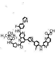 COC(=O)c1ccc2cnc(Nc3ccc(-n4cc(-c5cc(C(=O)N6CCC(NC(=O)OC(C)(C)C)C6)nc6cc(Nc7ccc(-n8cccn8)cc7F)ncc56)cn4)cc3F)cc2n1